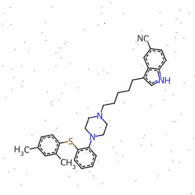 Cc1ccc(Sc2ccccc2N2CCN(CCCCCc3c[nH]c4ccc(C#N)cc34)CC2)c(C)c1